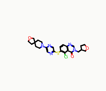 O=c1c2c(Cl)c(Sc3cnc(N4CCC5(CCOC5)CC4)cn3)ccc2ncn1CC1CCOC1